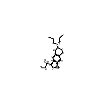 CCCN(CCC)C1CCc2cc3[nH]cc(C(=O)CC)c3cc2C1